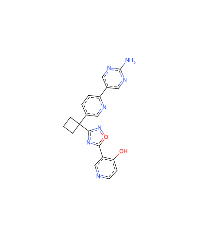 Nc1ncc(-c2ccc(C3(c4noc(-c5cnccc5O)n4)CCC3)cn2)cn1